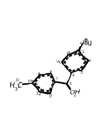 CCC(C)c1ccc(C(O)c2ccc(C)cc2)cc1